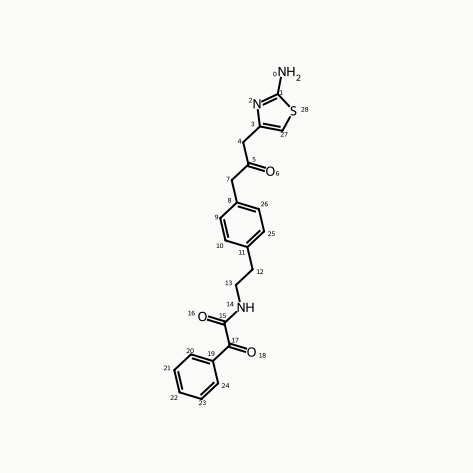 Nc1nc(CC(=O)Cc2ccc(CCNC(=O)C(=O)c3ccccc3)cc2)cs1